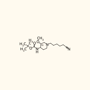 CO[C@H]1CN(CCCCCC#N)CCC1NC(=O)OC(C)(C)C